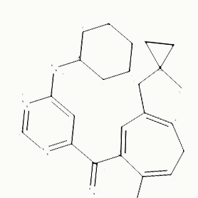 CC1=CCC=C(CC2(C)CC2)C=C1C(=N)c1cc(NC2CCCCC2)ncn1